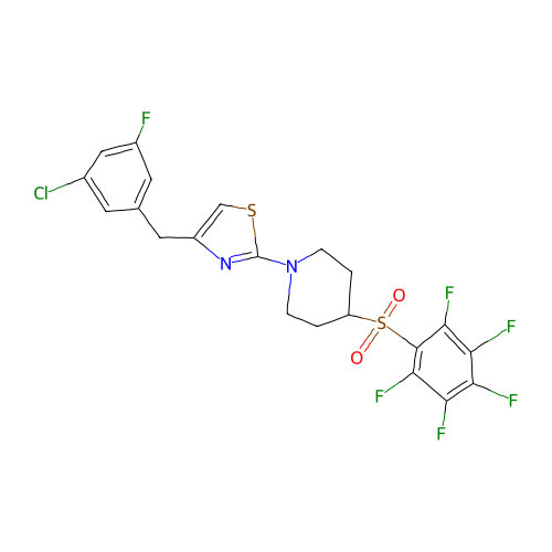 O=S(=O)(c1c(F)c(F)c(F)c(F)c1F)C1CCN(c2nc(Cc3cc(F)cc(Cl)c3)cs2)CC1